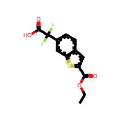 CCOC(=O)c1cc2ccc(C(F)(F)C(=O)O)cc2s1